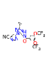 N#Cc1cc(-n2nc(C3CC3)nc2CNC(=O)c2cc(OC(F)(F)F)cc(OC(F)(F)F)c2)ncn1